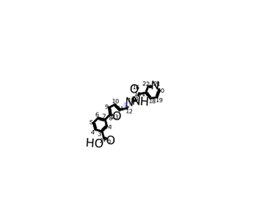 O=C(O)c1cccc(-c2ccc(/C=N/NC(=O)c3cccnc3)o2)c1